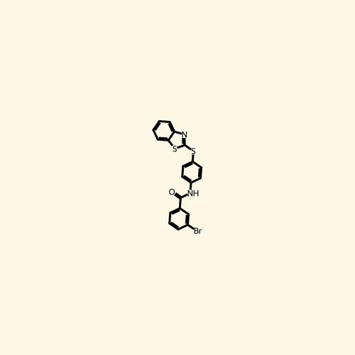 O=C(Nc1ccc(Sc2nc3ccccc3s2)cc1)c1cccc(Br)c1